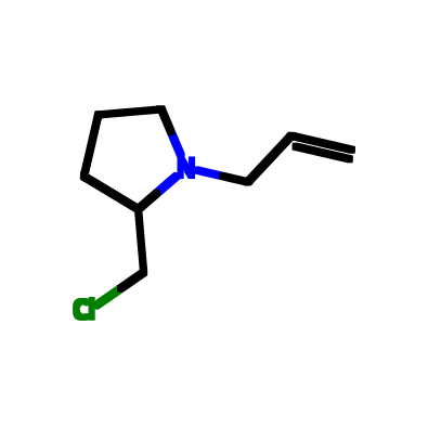 C=CCN1CCCC1CCl